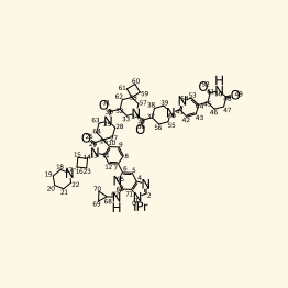 CC(C)n1cnc2cc(-c3ccc4c(c3)N([C@H]3C[C@@H](N5CCCCC5)C3)C(=O)C43CCN(C(=O)C4CN(C(=O)C5CCN(c6ccc(C7CCC(=O)NC7=O)cn6)CC5)CC5(CCC5)C4)CC3)nc(NC3CC3)c21